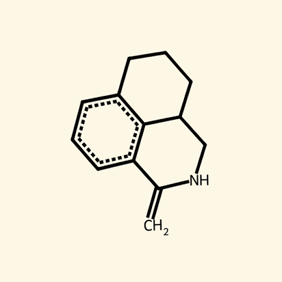 C=C1NCC2CCCc3cccc1c32